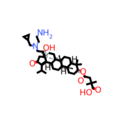 CC(C)C1=C2[C@H]3CC[C@@H]4[C@@]5(C)CC[C@H](OC(=O)CC(C)(C)C(=O)O)C(C)(C)[C@@H]5CC[C@@]4(C)[C@]3(C)CC[C@@]2([C@@H](O)CN(CCN)CC2CC2)CC1=O